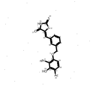 CCCc1c(OCc2cccc(/C=C3\SC(=S)NC3=O)c2)ccc(C(C)=O)c1O